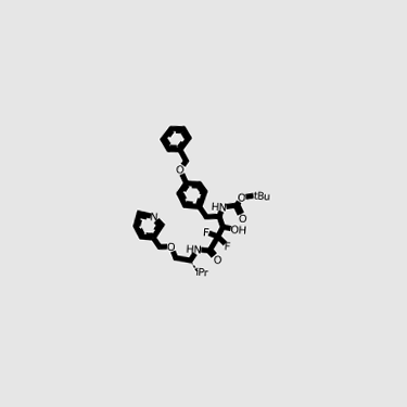 CC(C)[C@H](COCc1cccnc1)NC(=O)C(F)(F)C(O)C(Cc1ccc(OCc2ccccc2)cc1)NC(=O)OC(C)(C)C